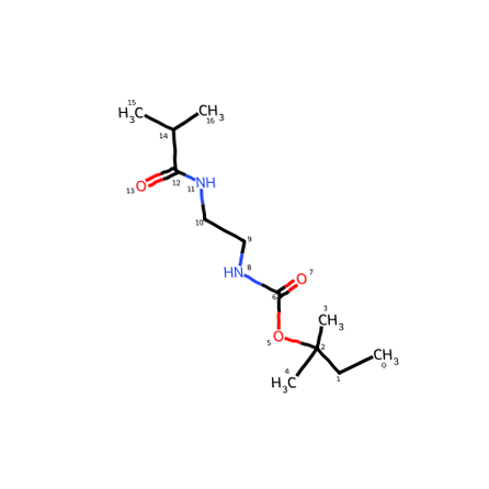 CCC(C)(C)OC(=O)NCCNC(=O)C(C)C